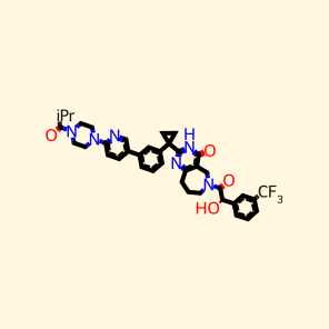 CC(C)C(=O)N1CCN(c2ccc(-c3cccc(C4(c5nc6c(c(=O)[nH]5)CN(C(=O)[C@H](O)c5cccc(C(F)(F)F)c5)CCC6)CC4)c3)cn2)CC1